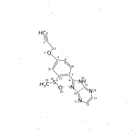 C#CCOc1ccc(-c2nc3nccnc3[nH]2)c([S+](C)[O-])c1